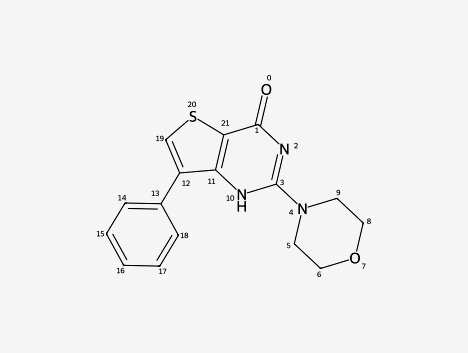 O=c1nc(N2CCOCC2)[nH]c2c(-c3ccccc3)csc12